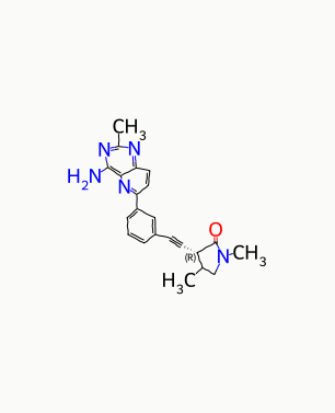 Cc1nc(N)c2nc(-c3cccc(C#C[C@@H]4C(=O)N(C)CC4C)c3)ccc2n1